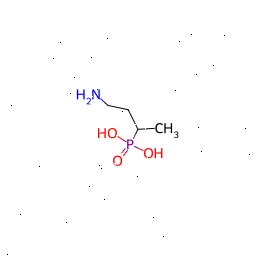 CC(CCN)P(=O)(O)O